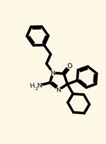 NC1=NC(c2ccccc2)(C2CCCCC2)C(=O)N1CCc1ccccc1